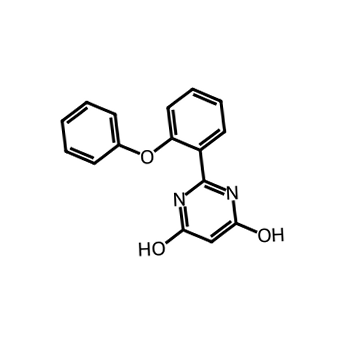 Oc1cc(O)nc(-c2ccccc2Oc2ccccc2)n1